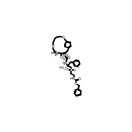 CC(C)[C@H]1COCCCCOc2ccc(cc2)C[C@@H](NC(=O)N[C@@](Cc2ccccc2)(CS(=O)(=O)CCNC(=O)OCc2ccccc2)C(=O)O)C(=O)N1